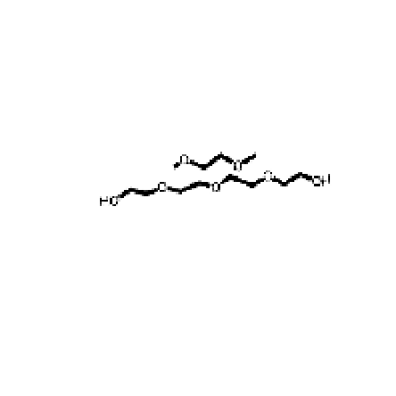 COCCOC.OCCOCCOCCOCCO